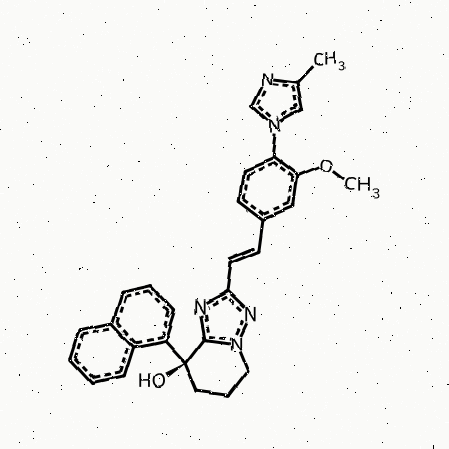 COc1cc(/C=C/c2nc3n(n2)CCC[C@]3(O)c2cccc3ccccc23)ccc1-n1cnc(C)c1